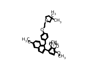 COc1ccc2c(Cc3ccc(OCCN4CCC(C)(C)C4)cc3)c(-c3ccc(OC)c(OC)c3OC)ccc2c1